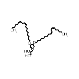 CCCCC/C=C\C/C=C\CCCCCCCCOC1CN(CC(O)CO)C[C@H]1OCCCCCCCC/C=C\C/C=C\CCCCC